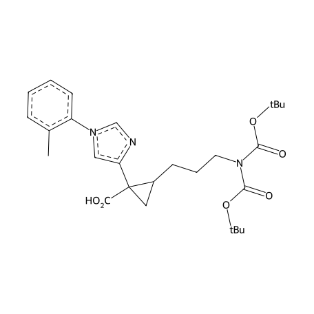 Cc1ccccc1-n1cnc(C2(C(=O)O)CC2CCCN(C(=O)OC(C)(C)C)C(=O)OC(C)(C)C)c1